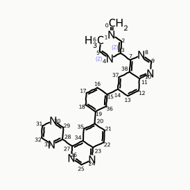 C=N/C=C(\N=C/C)c1ncnc2ccc(-c3cccc(-c4ccc5ncnc(-c6cnccn6)c5c4)c3)cc12